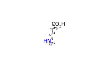 C/C(=C\CCCNC(C)C)C(=O)O